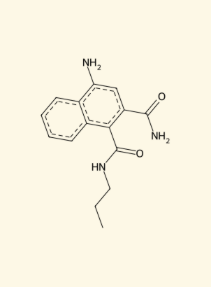 CCCNC(=O)c1c(C(N)=O)cc(N)c2ccccc12